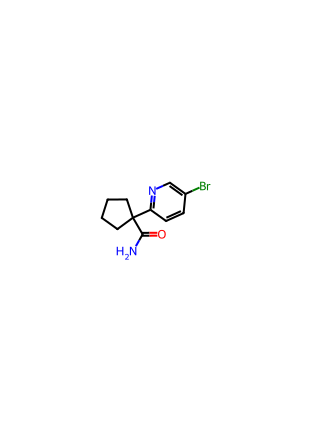 NC(=O)C1(c2ccc(Br)cn2)CCCC1